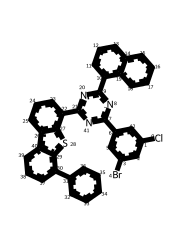 Clc1cc(Br)cc(-c2nc(-c3cccc4ccccc34)nc(-c3cccc4c3sc3c(-c5ccccc5)cccc34)n2)c1